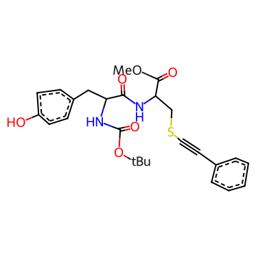 COC(=O)C(CSC#Cc1ccccc1)NC(=O)C(Cc1ccc(O)cc1)NC(=O)OC(C)(C)C